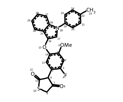 COc1cc(F)c(C2C(=O)CSC2=O)cc1Oc1cn(-c2ccc(C)cc2)c2ccccc12